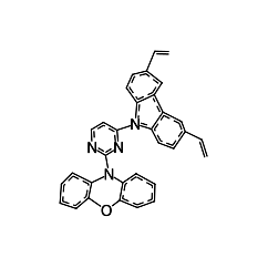 C=Cc1ccc2c(c1)c1cc(C=C)ccc1n2-c1ccnc(N2c3ccccc3Oc3ccccc32)n1